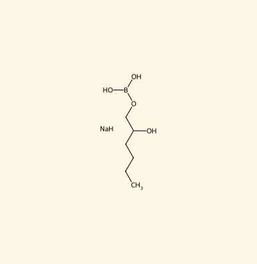 CCCCC(O)COB(O)O.[NaH]